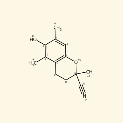 Cc1cc2c(c(C)c1O)CCC(C)(C#N)O2